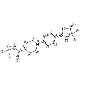 C=C1OB(c2ccc(N3CCN(C(=O)OC(C)(C)C)CC3)cc2)OC1(C)C